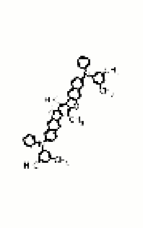 Cc1cc(C)cc(N(c2ccccc2)c2ccc3cc4c(cc3c2)oc2c(C)c3c(oc5cc6cc(N(c7ccccc7)c7cc(C)cc(C)c7)ccc6cc53)c(C)c24)c1